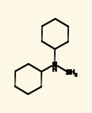 [SiH3][SiH](C1CCCCC1)C1CCCCC1